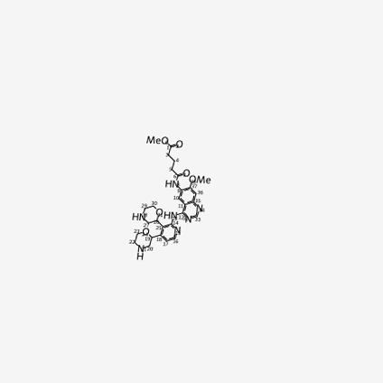 COC(=O)CCCC(=O)Nc1cc2c(Nc3nccc(C4CNCCO4)c3C3CNCCO3)ncnc2cc1OC